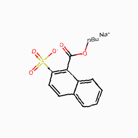 CCCCOC(=O)c1c(S(=O)(=O)[O-])ccc2ccccc12.[Na+]